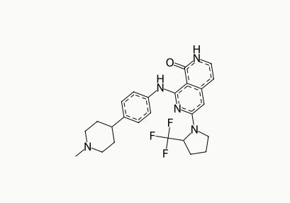 CN1CCC(c2ccc(Nc3nc(N4CCCC4C(F)(F)F)cc4cc[nH]c(=O)c34)cc2)CC1